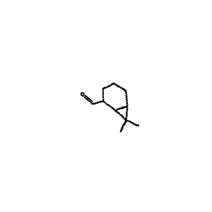 CC1(C)C2CCCC(C=O)C21